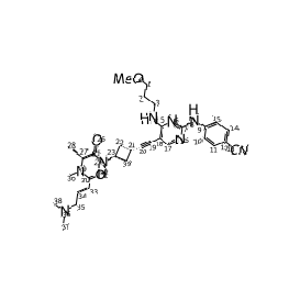 COCCCNc1nc(Nc2ccc(C#N)cc2)ncc1C#C[C@H]1C[C@H](NC(=O)[C@H](C)N(C)C(=O)/C=C/CN(C)C)C1